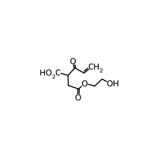 C=CC(=O)C(CC(=O)OCCO)C(=O)O